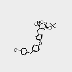 CC(C)(C)OC(=O)NC(Cc1ccc(Oc2ccc(Cc3ccc(Cl)cc3)cc2)cc1)C(=O)O